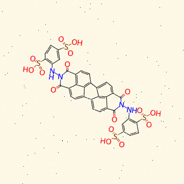 O=C1c2ccc3c4ccc5c6c(ccc(c7ccc(c2c37)C(=O)N1Nc1cc(S(=O)(=O)O)ccc1S(=O)(=O)O)c64)C(=O)N(Nc1cc(S(=O)(=O)O)ccc1S(=O)(=O)O)C5=O